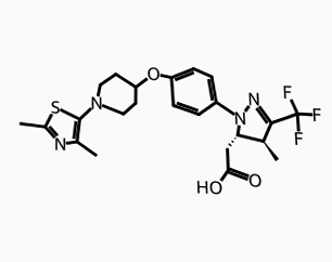 Cc1nc(C)c(N2CCC(Oc3ccc(N4N=C(C(F)(F)F)[C@@H](C)[C@@H]4CC(=O)O)cc3)CC2)s1